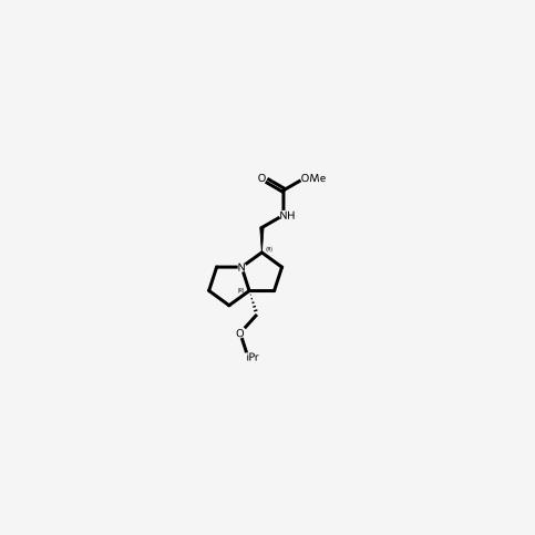 COC(=O)NC[C@H]1CC[C@@]2(COC(C)C)CCCN12